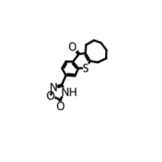 O=c1[nH]c(-c2ccc3c(=O)c4c(sc3c2)CCCCCC4)no1